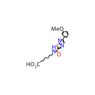 COc1cccc(-c2cn3cc(C(=O)NCCCCCCC(=O)O)sc3n2)c1